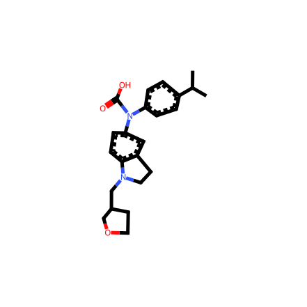 CC(C)c1ccc(N(C(=O)O)c2ccc3c(c2)CCN3CC2CCOC2)cc1